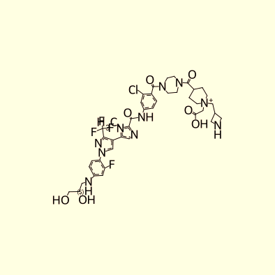 Cn1c(-c2cn(-c3ccc(NC[C@H](O)CO)cc3F)nc2C(F)(F)F)cnc1C(=O)Nc1ccc(C(=O)N2CCN(C(=O)C3CC[N+](CC(=O)O)(CC4CNC4)CC3)CC2)c(Cl)c1